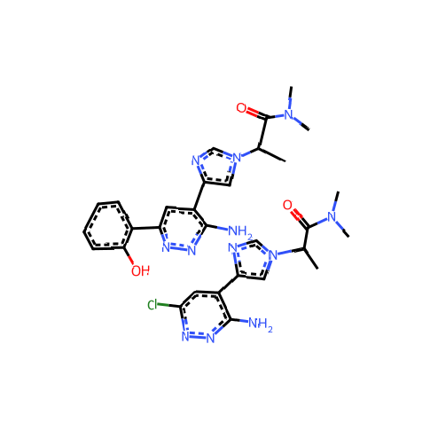 CC(C(=O)N(C)C)n1cnc(-c2cc(-c3ccccc3O)nnc2N)c1.CC(C(=O)N(C)C)n1cnc(-c2cc(Cl)nnc2N)c1